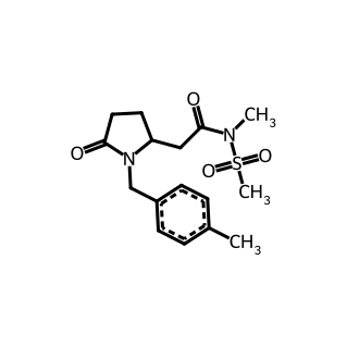 Cc1ccc(CN2C(=O)CCC2CC(=O)N(C)S(C)(=O)=O)cc1